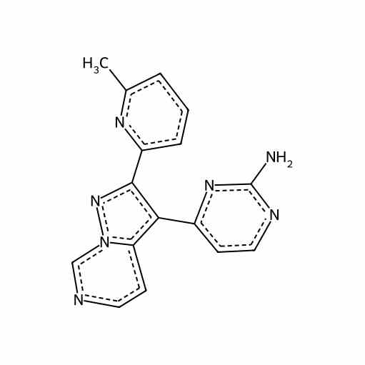 Cc1cccc(-c2nn3cnccc3c2-c2ccnc(N)n2)n1